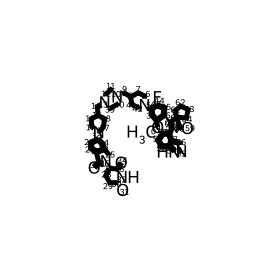 COc1cc(N2CCC(CN3CCN(CC4CCN(c5ccc6c(c5)CN(C5CCC(=O)NC5=O)C6=O)CC4)CC3)CC2)c(F)cc1[C@@H]1N(c2cccc3[nH]ncc23)C(=O)C12CCCC2